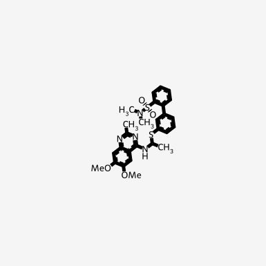 COc1cc2nc(C)nc(NC(C)Sc3cccc(-c4ccccc4S(=O)(=O)N(C)C)c3)c2cc1OC